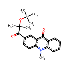 Cn1c2ccccc2c(=O)c2cc(C(=O)C(C)(C)O[Si](C)(C)C)ccc21